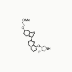 COCCOc1ccn2c(-c3ccc4cccc(OC5CNC[C@@H]5F)c4n3)cnc2c1